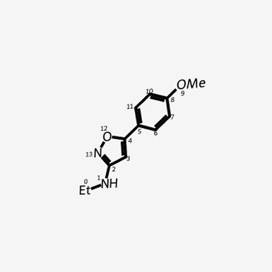 CCNc1cc(-c2ccc(OC)cc2)on1